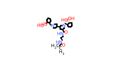 C=C(C)C(=O)NCCCNC(=O)c1cc(-c2cc[n+](Cc3ccccc3OBO)cc2)c[n+](Cc2ccccc2B(O)O)c1